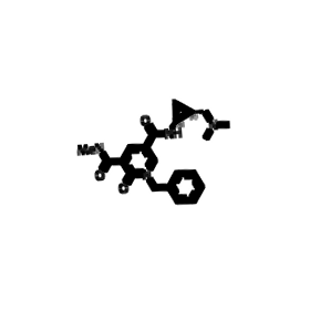 CNC(=O)c1cc(C(=O)N[C@H]2C[C@@H]2CN(C)C)cn(Cc2ccccc2)c1=O